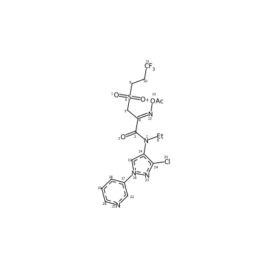 CCN(C(=O)C(CS(=O)(=O)CCC(F)(F)F)=NOC(C)=O)c1cn(-c2cccnc2)nc1Cl